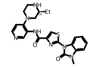 CC[C@H]1CN(c2ccncc2NC(=O)c2csc(-n3c(=O)n(C)c4ccccc43)n2)CCN1